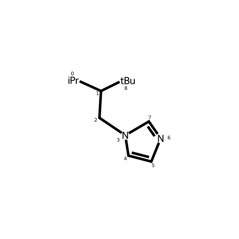 CC(C)C(Cn1ccnc1)C(C)(C)C